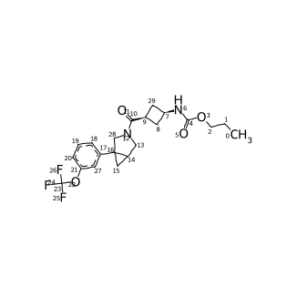 CCCOC(=O)N[C@H]1C[C@@H](C(=O)N2CC3CC3(c3cccc(OC(F)(F)F)c3)C2)C1